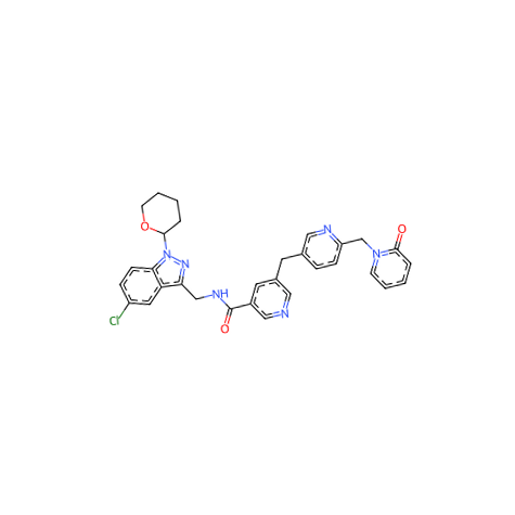 O=C(NCc1nn(C2CCCCO2)c2ccc(Cl)cc12)c1cncc(Cc2ccc(Cn3ccccc3=O)nc2)c1